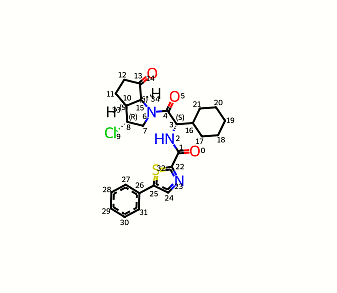 O=C(N[C@H](C(=O)N1C[C@H](Cl)[C@H]2CCC(=O)[C@H]21)C1CCCCC1)c1ncc(-c2ccccc2)s1